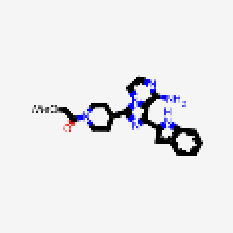 COCC(=O)N1CCC(c2nc(-c3cc4ccccc4[nH]3)c3c(N)nccn23)CC1